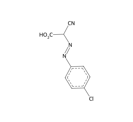 N#CC(N=Nc1ccc(Cl)cc1)C(=O)O